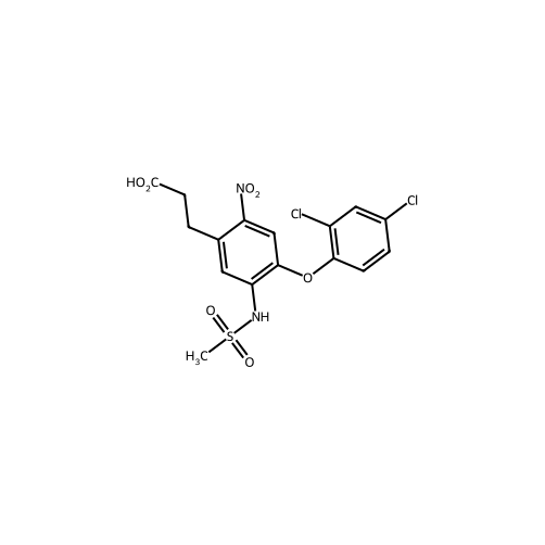 CS(=O)(=O)Nc1cc(CCC(=O)O)c([N+](=O)[O-])cc1Oc1ccc(Cl)cc1Cl